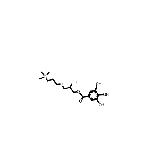 C[Si](C)(C)CCCOCC(O)COC(=O)c1cc(O)c(O)c(O)c1